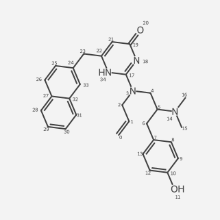 C=CCN(CC(Cc1ccc(O)cc1)N(C)C)c1nc(=O)cc(Cc2ccc3ccccc3c2)[nH]1